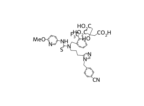 COc1ccc(NC(=S)N(CCCc2cncn2Cc2ccc(C#N)cc2)Cc2ccccc2C(F)(F)F)cn1.O=C(O)CC(O)(CC(=O)O)C(=O)O